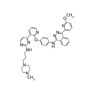 COc1cccc(-c2nnc(Nc3ccc(Oc4ncccc4-c4ccnc(NCCCN5CCN(C)CC5)n4)cc3)c3ccccc23)n1